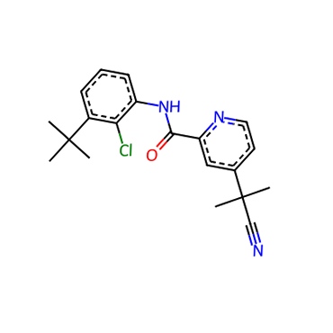 CC(C)(C)c1cccc(NC(=O)c2cc(C(C)(C)C#N)ccn2)c1Cl